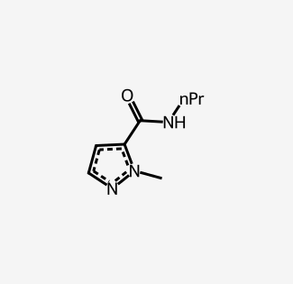 CCCNC(=O)c1ccnn1C